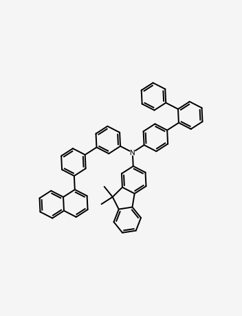 CC1(C)c2ccccc2-c2ccc(N(c3ccc(-c4ccccc4-c4ccccc4)cc3)c3cccc(-c4cccc(-c5cccc6ccccc56)c4)c3)cc21